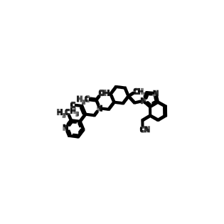 C=C(O)N(C/C(=C/C)c1cccnc1C)CC1CCCC(C)(Cn2cnc3c2C(CC#N)CC=C3)C1